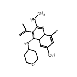 C=C(C)C1=C(NC2CCOCC2)C2C=C(O)C=C(C)C2N=C1NN